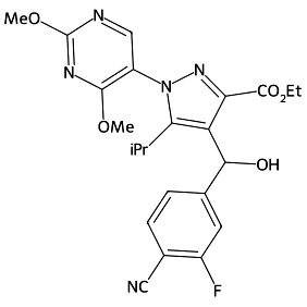 CCOC(=O)c1nn(-c2cnc(OC)nc2OC)c(C(C)C)c1C(O)c1ccc(C#N)c(F)c1